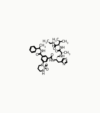 CCNC(=O)[C@@H](NC(=O)[C@H](C)NC[C@H](Cc1cscn1)NC(=O)c1cc(C(=O)NC(C)c2ccccc2)cc(N2CCCNS2(=O)=O)c1)C(C)C